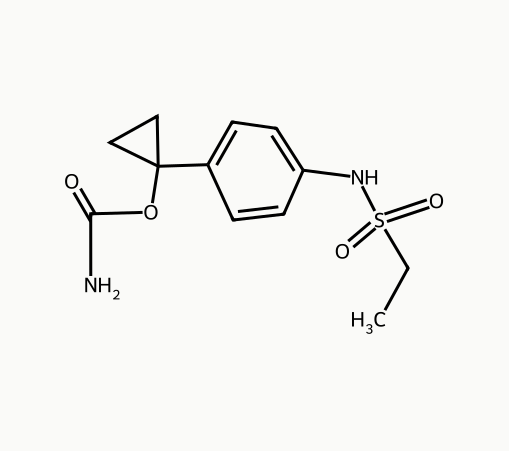 CCS(=O)(=O)Nc1ccc(C2(OC(N)=O)CC2)cc1